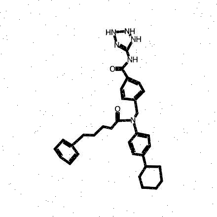 O=C(NC1=NNNN1)c1ccc(CN(C(=O)CCCCc2ccccc2)c2ccc(C3CCCCC3)cc2)cc1